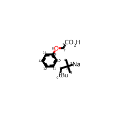 CC(C)(C)C[C](C)(C)[Na].O=C(O)COc1ccccc1